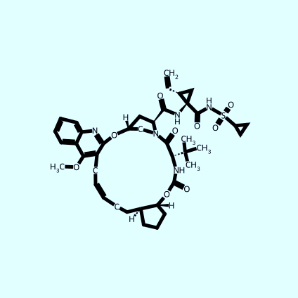 C=C[C@@H]1C[C@]1(NC(=O)[C@@H]1C[C@@H]2CN1C(=O)[C@H](C(C)(C)C)NC(=O)O[C@@H]1CCC[C@H]1CC/C=C\Cc1c(nc3ccccc3c1OC)O2)C(=O)NS(=O)(=O)C1CC1